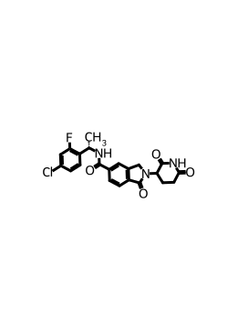 C[C@H](NC(=O)c1ccc2c(c1)CN(C1CCC(=O)NC1=O)C2=O)c1ccc(Cl)cc1F